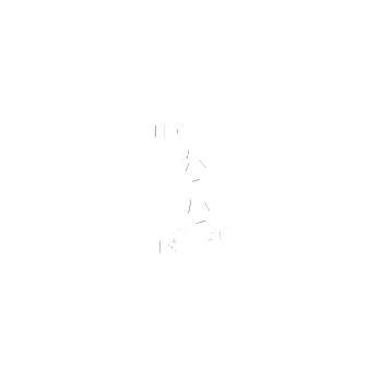 CCOc1ccc(Cc2ccc(COSI)c(Br)c2)cc1